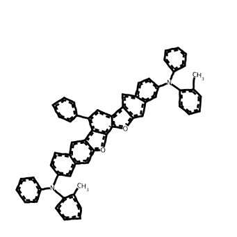 Cc1ccccc1N(c1ccccc1)c1ccc2cc3c(cc2c1)oc1c3cc(-c2ccccc2)c2c3cc4ccc(N(c5ccccc5)c5ccccc5C)cc4cc3oc12